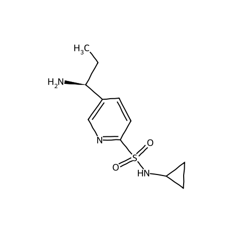 CC[C@H](N)c1ccc(S(=O)(=O)NC2CC2)nc1